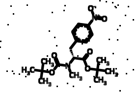 CN(C(=O)OC(C)(C)C)[C@H](Cc1ccc([N+](=O)[O-])cc1)C(=O)OC(C)(C)C